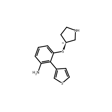 Nc1cccc(S[C@H]2CCNC2)c1-c1ccsc1